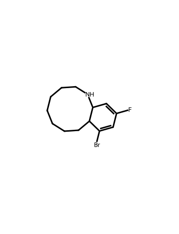 FC1=CC2NCCCCCCCC2C(Br)=C1